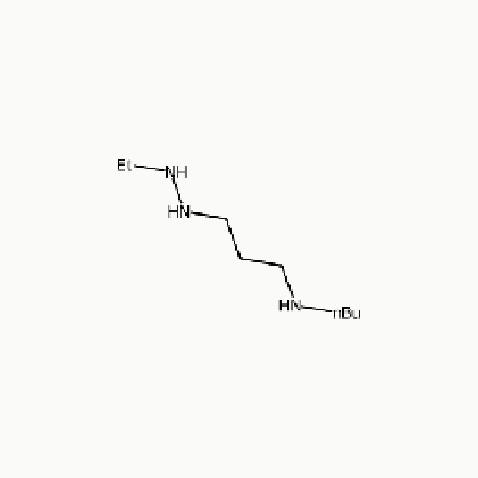 CCCCNCCCNNCC